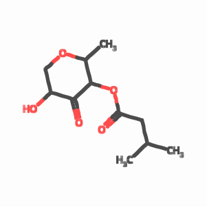 CC(C)CC(=O)OC1C(=O)C(O)COC1C